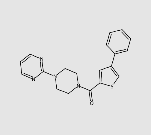 O=C(c1cc(-c2ccccc2)cs1)N1CCN(c2ncccn2)CC1